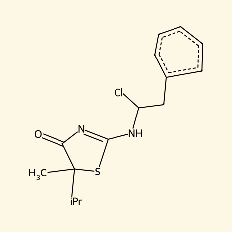 CC(C)C1(C)SC(NC(Cl)Cc2ccccc2)=NC1=O